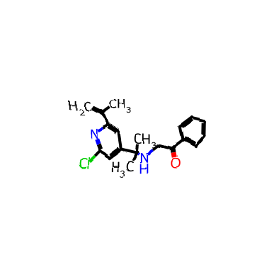 C=C(C)c1cc(C(C)(C)NCC(=O)c2ccccc2)cc(Cl)n1